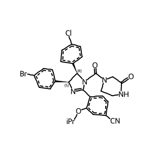 CC(C)Oc1cc(C#N)ccc1C1=N[C@@H](c2ccc(Br)cc2)[C@@H](c2ccc(Cl)cc2)N1C(=O)N1CCNC(=O)C1